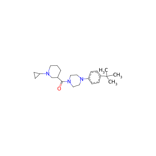 CC(C)(C)c1ccc(N2CCN(C(=O)C3CCCN(C4CC4)C3)CC2)cc1